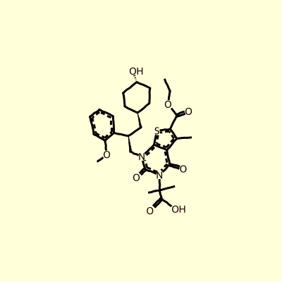 CCOC(=O)c1sc2c(c1C)c(=O)n(C(C)(C)C(=O)O)c(=O)n2C[C@H](C[C@H]1CC[C@H](O)CC1)c1ccccc1OC